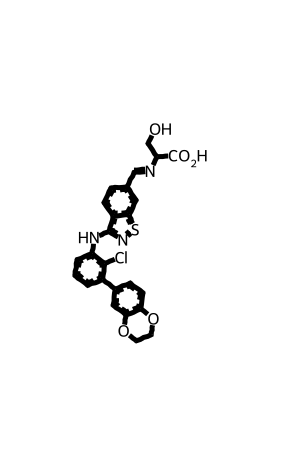 O=C(O)C(CO)N=Cc1ccc2c(Nc3cccc(-c4ccc5c(c4)OCCO5)c3Cl)nsc2c1